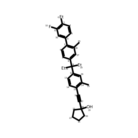 CCc1ccc(-c2ccc(C(CC)(CC)c3ccc(C#CC4(O)CCCC4)c(C)c3)cc2C)cc1F